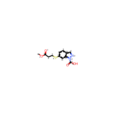 COC(=O)CCSc1ccc2cnn(C(=O)O)c2c1